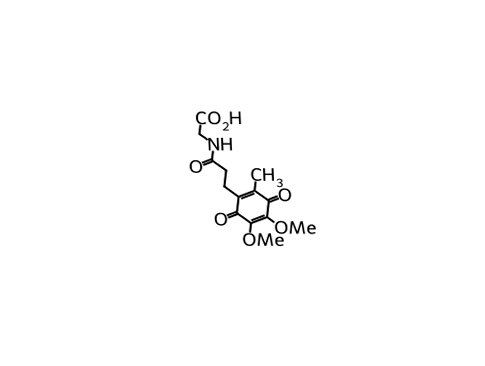 COC1=C(OC)C(=O)C(CCC(=O)NCC(=O)O)=C(C)C1=O